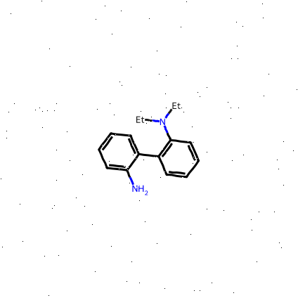 CCN(CC)c1[c]cccc1-c1ccccc1N